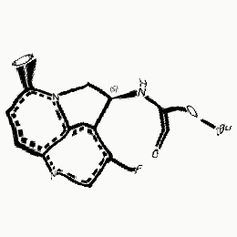 CC(C)(C)OC(=O)N[C@@H]1Cn2c(=O)ccc3ncc(F)c1c32